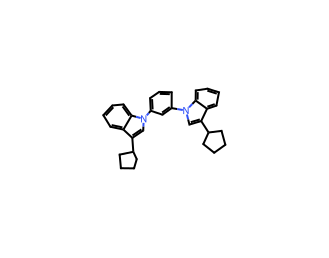 c1cc(-n2cc(C3CCCC3)c3ccccc32)cc(-n2cc(C3CCCC3)c3ccccc32)c1